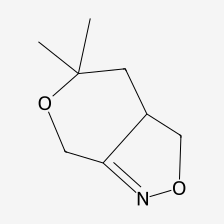 CC1(C)CC2CON=C2CO1